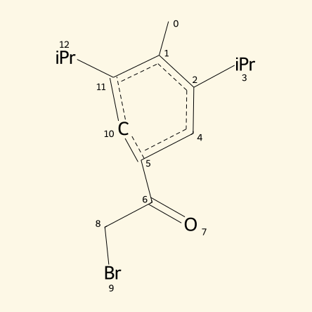 Cc1c(C(C)C)cc(C(=O)CBr)cc1C(C)C